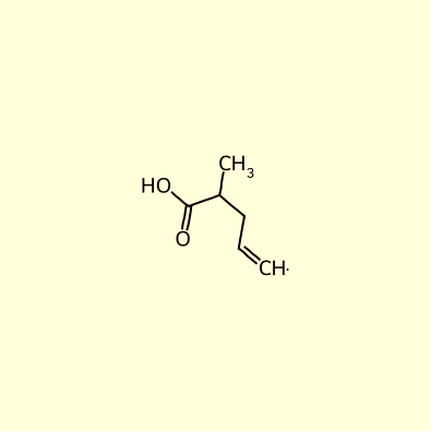 [CH]=CCC(C)C(=O)O